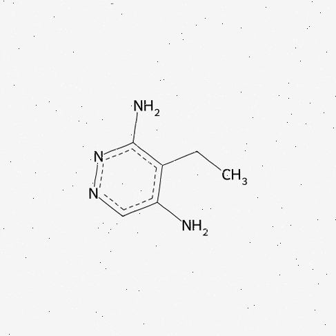 CCc1c(N)cnnc1N